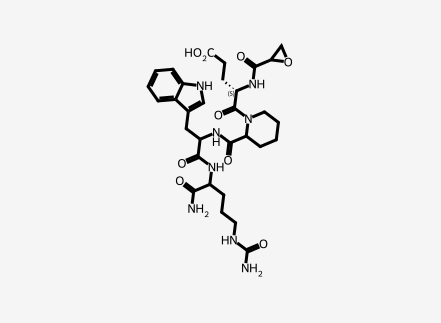 NC(=O)NCCCC(NC(=O)C(Cc1c[nH]c2ccccc12)NC(=O)C1CCCCN1C(=O)[C@H](CCC(=O)O)NC(=O)C1CO1)C(N)=O